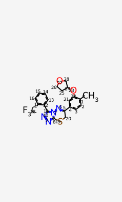 Cc1ccc(C2=Nn3c(nnc3-c3ccccc3C(F)(F)F)SC2)cc1OC1CCOC1